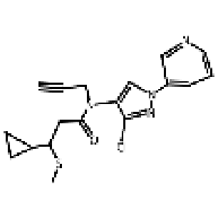 C#CCN(C(=O)CC(SC)C1CC1)c1cn(-c2cccnc2)nc1Cl